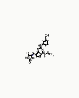 C#Cc1cccc(Nc2nc(NCC(F)(F)F)n3ncc(/C=C4\NC(=O)NC4=O)c3n2)c1